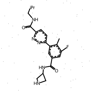 Cc1c(F)cc(C(=O)NC2CNC2)cc1-c1ccc(C(=O)NCC(C)C)nn1